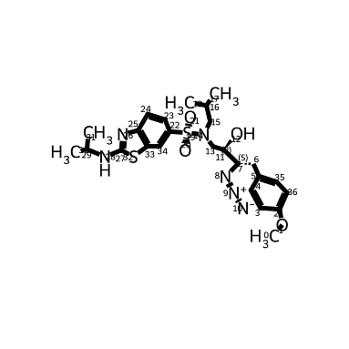 COc1ccc(C[C@H](N=[N+]=[N-])[C@H](O)CN(CC(C)C)S(=O)(=O)c2ccc3nc(NC(C)C)sc3c2)cc1